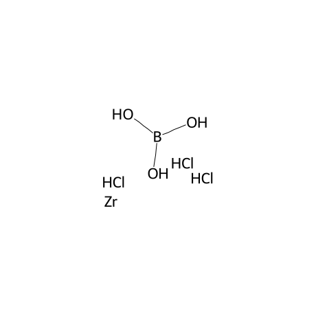 Cl.Cl.Cl.OB(O)O.[Zr]